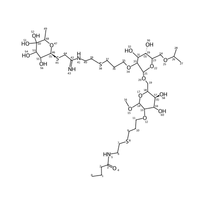 CCCC(=O)NCCSCCCOC1C(OC)OC(COC2OC(COC(C)C)[C@@H](O)C(O)C2OCCCSCCNC(=N)CS[C@@H]2OC(C)C(O)(O)C(O)C2O)[C@@H](O)C1O